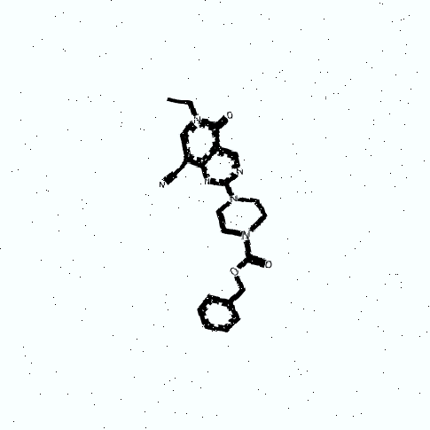 CCn1cc(C#N)c2nc(N3CCN(C(=O)OCc4ccccc4)CC3)ncc2c1=O